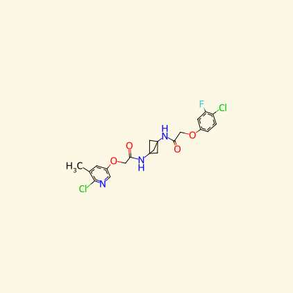 Cc1cc(OCC(=O)NC23CC(NC(=O)COc4ccc(Cl)c(F)c4)(C2)C3)cnc1Cl